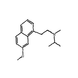 COc1ccc2cccc(CCN(C)C(C)C)c2c1